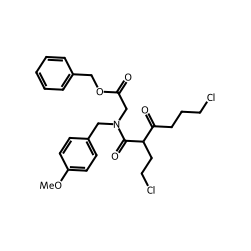 COc1ccc(CN(CC(=O)OCc2ccccc2)C(=O)C(CCCl)C(=O)CCCCl)cc1